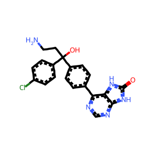 NCCC(O)(c1ccc(Cl)cc1)c1ccc(-c2ncnc3[nH]c(=O)[nH]c23)cc1